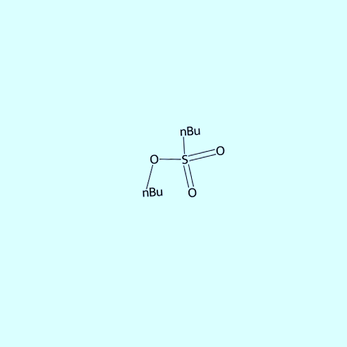 [CH2]CCCOS(=O)(=O)CCCC